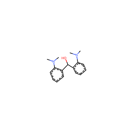 CN(C)c1ccccc1C(O)c1ccccc1N(C)C